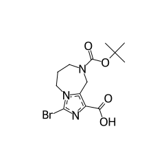 CC(C)(C)OC(=O)N1CCCn2c(Br)nc(C(=O)O)c2C1